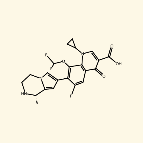 C[C@@H]1NCCn2cc(-c3c(F)cc4c(=O)c(C(=O)O)cn(C5CC5)c4c3OC(F)F)cc21